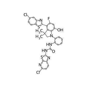 CC1(C)CN(c2ccccc2NC(=O)Nc2nc3ccc(Cl)nc3s2)c2c(O)cc(F)c(-c3nc4cc(Cl)ccc4s3)c21